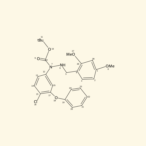 COc1ccc(CNN(C(=O)OC(C)(C)C)c2ccc(Cl)c(Oc3ccccc3)c2)c(OC)c1